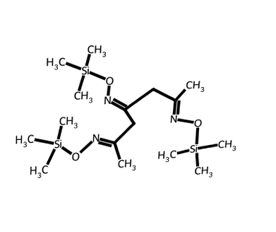 CC(CC(CC(C)=NO[Si](C)(C)C)=NO[Si](C)(C)C)=NO[Si](C)(C)C